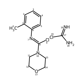 Cc1ccccc1N=C(Cl)N1CCOCC1.N=C(N)Cl